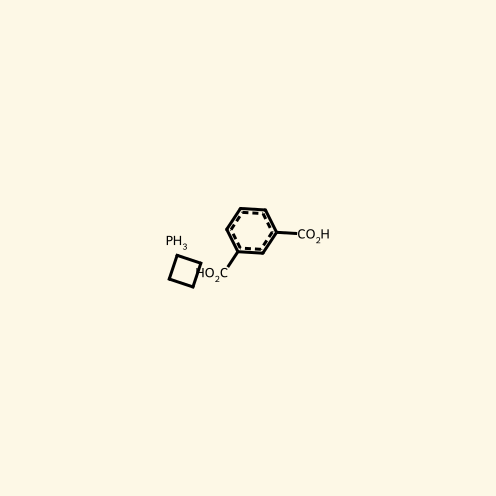 C1CCC1.O=C(O)c1cccc(C(=O)O)c1.P